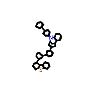 C1=CC2Sc3ccccc3C2C(C2=CC(c3cccc(C4=CC5CC(C4)C4=C(CCC=C4)N5c4ccc(-c5ccccc5)cc4)c3)=CCC2)=C1